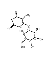 C=C1OC(=O)C(C)=C(O[C@@H]2O[C@H](CO)[C@@H](O)[C@H](O)[C@H]2O)[C@@H]1C